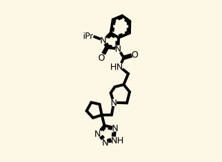 CC(C)n1c(=O)n(C(=O)NCC2CCN(CC3(c4nn[nH]n4)CCCC3)CC2)c2ccccc21